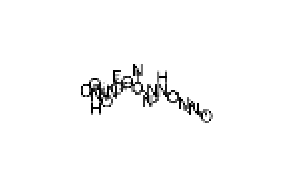 C[C@H]1OC(=O)N[C@@H]1C(=O)N1CC[C@H](Oc2ccc(-c3nccc(Nc4ccc(N5CCN(C6COC6)CC5)cc4)n3)cc2C#N)[C@H](F)C1